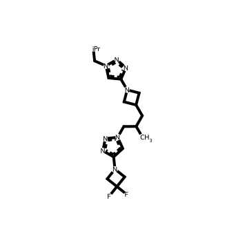 CC(C)Cn1cc(N2CC(CC(C)Cn3cc(N4CC(F)(F)C4)nn3)C2)nn1